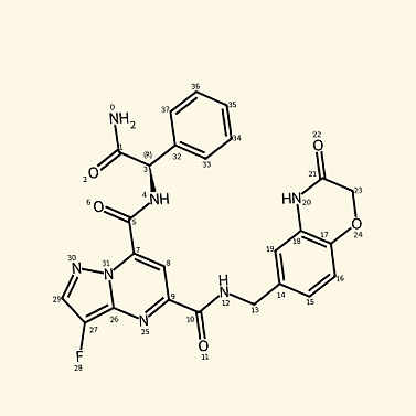 NC(=O)[C@H](NC(=O)c1cc(C(=O)NCc2ccc3c(c2)NC(=O)CO3)nc2c(F)cnn12)c1ccccc1